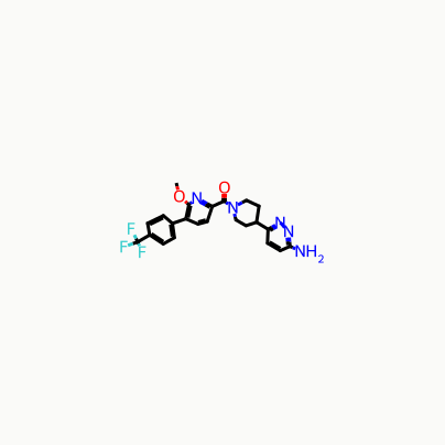 COc1nc(C(=O)N2CCC(c3ccc(N)nn3)CC2)ccc1-c1ccc(C(F)(F)F)cc1